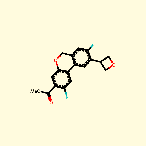 COC(=O)c1cc2c(cc1F)-c1cc(C3COC3)c(F)cc1CO2